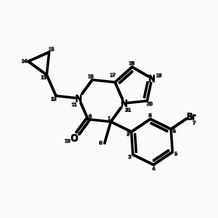 CC1(c2cccc(Br)c2)C(=O)N(CC2CC2)Cc2cncn21